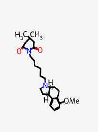 COc1cccc2c1CC[C@@H]1[C@H]2CCN1CCCCCCN1C(=O)CC(C)(C)CC1=O